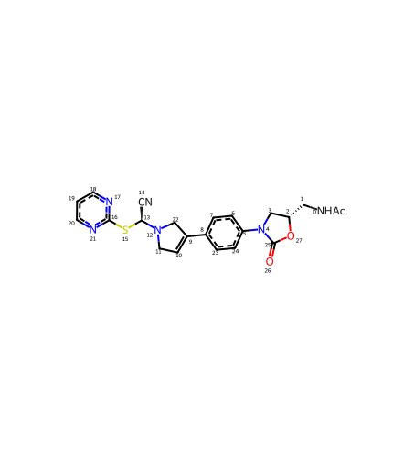 CC(=O)NC[C@H]1CN(c2ccc(C3=CCN([C@H](C#N)Sc4ncccn4)C3)cc2)C(=O)O1